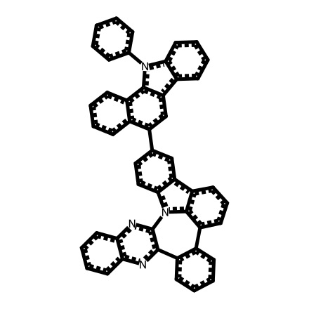 c1ccc(-n2c3ccccc3c3cc(-c4ccc5c(c4)c4cccc6c4n5-c4nc5ccccc5nc4-c4ccccc4-6)c4ccccc4c32)cc1